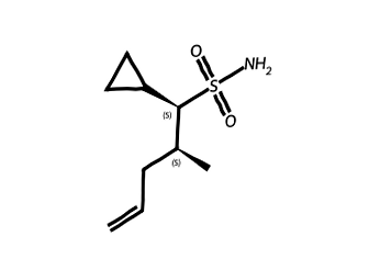 C=CC[C@H](C)[C@@H](C1CC1)S(N)(=O)=O